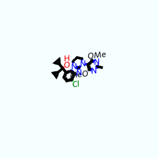 COc1nc(C)nc(OC)c1N1CCCn2c1nc1c(Cl)ccc(C(O)(C3CC3)C3CC3)c12